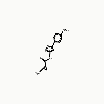 COc1ccc(-c2cc(NC(=O)C3CC3C)sn2)cc1